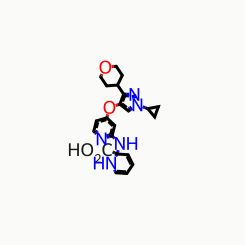 O=C(O)C1(Nc2cc(Oc3cn(C4CC4)nc3C3CCOCC3)ccn2)C=CC=CN1